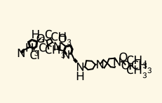 CC(C)(C)OC(=O)N1CCC2(CC1)CN(C1CCC(NC#Cc3ccc4c(n3)CN([C@H]3C(C)(C)[C@H](Oc5ccc(C#N)c(Cl)c5)C3(C)C)C4=O)CC1)C2